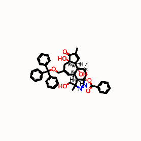 CC1=C[C@H]2[C@@]3(O)[C@H](C)C[C@@]4(OC(=O)c5ccccc5)N=NC(C)(CO)[C@H]4[C@@H]3C=C(COC(c3ccccc3)(c3ccccc3)c3ccccc3)C[C@]2(O)C1=O